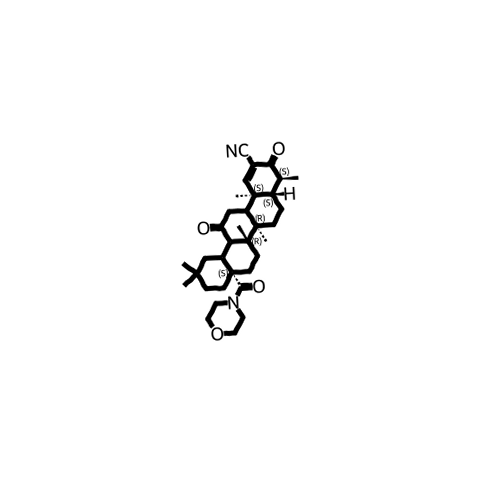 C[C@@H]1C(=O)C(C#N)=C[C@]2(C)C3CC(=O)C4C5CC(C)(C)CC[C@]5(C(=O)N5CCOCC5)CC[C@@]4(C)[C@]3(C)CC[C@@H]12